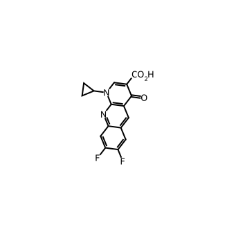 O=C(O)c1cn(C2CC2)c2nc3cc(F)c(F)cc3cc2c1=O